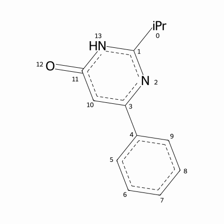 CC(C)c1nc(-c2ccccc2)cc(=O)[nH]1